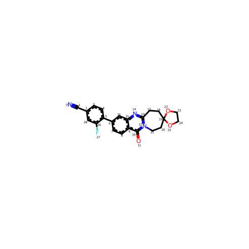 N#Cc1ccc(-c2ccc3c(=O)n4c(nc3c2)CCC2(CC4)OCCO2)c(F)c1